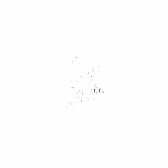 CC(C)(C)c1ccc2c3ccccc3n(-c3cc(-c4ccccc4)cc(-c4cccc(-c5cc(-c6ccccc6)nc(-c6cccc(C#N)c6)n5)c4)c3)c2c1